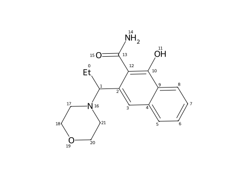 CCC(c1cc2ccccc2c(O)c1C(N)=O)N1CCOCC1